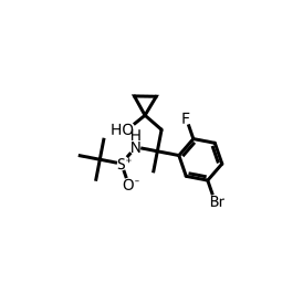 CC(CC1(O)CC1)(N[S+]([O-])C(C)(C)C)c1cc(Br)ccc1F